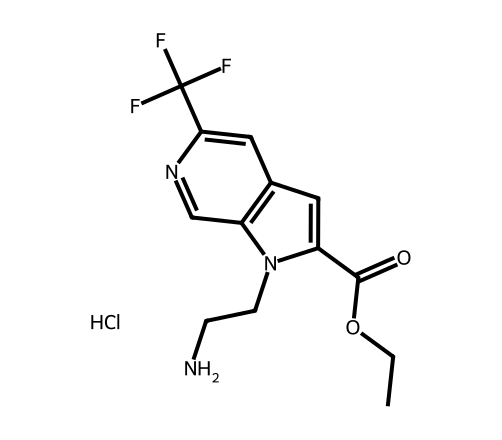 CCOC(=O)c1cc2cc(C(F)(F)F)ncc2n1CCN.Cl